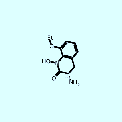 CCOc1cccc2c1N(O)C(=O)[C@@H](N)C2